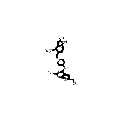 C=Cc1nc(NC2CCN(Cc3ccc4[nH]c(C#N)cc4c3C)CC2)c2cc(CC(F)(F)F)sc2n1